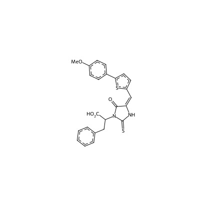 COc1ccc(-c2ccc(C=C3NC(=S)N(C(Cc4ccccc4)C(=O)O)C3=O)s2)cc1